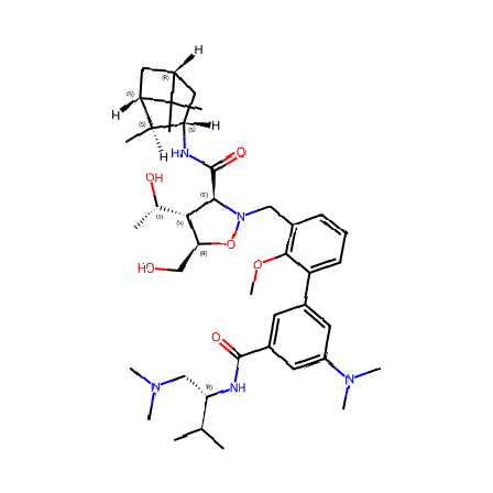 COc1c(CN2O[C@@H](CO)[C@H]([C@H](C)O)[C@H]2C(=O)N[C@H]2C[C@H]3C[C@@H]([C@@H]2C)C3(C)C)cccc1-c1cc(C(=O)N[C@@H](CN(C)C)C(C)C)cc(N(C)C)c1